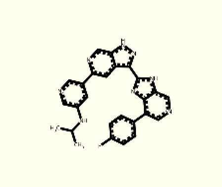 CC(C)Nc1cncc(-c2cc3c(-c4nc5c(-c6ccc(F)cc6)cncc5[nH]4)n[nH]c3cn2)c1